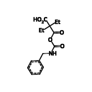 CCC(CC)(C(=O)O)C(=O)OC(=O)NCc1ccccc1